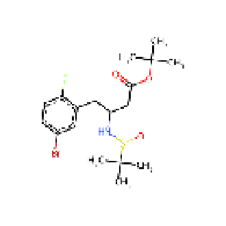 CC(C)(C)OC(=O)CC(Cc1cc(Br)ccc1F)N[S+]([O-])C(C)(C)C